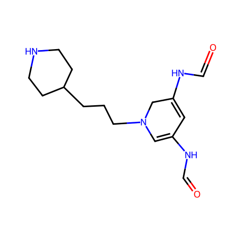 O=CNC1=CN(CCCC2CCNCC2)CC(NC=O)=C1